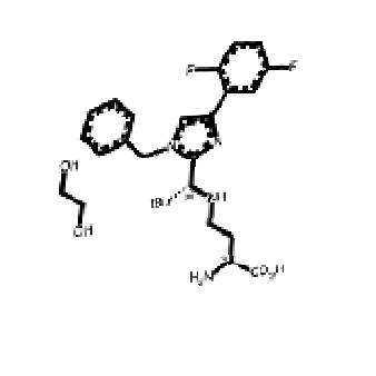 CC(C)(C)[C@@H](NCC[C@H](N)C(=O)O)c1nc(-c2cc(F)ccc2F)cn1Cc1ccccc1.OCCO